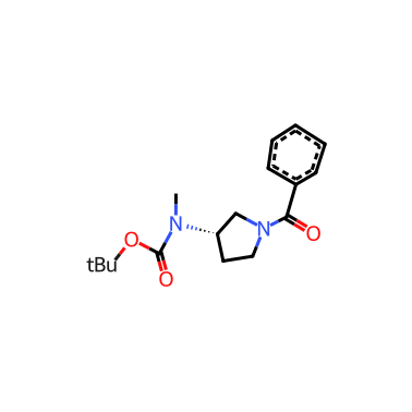 CN(C(=O)OC(C)(C)C)[C@H]1CCN(C(=O)c2ccccc2)C1